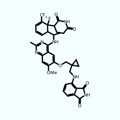 COc1cc2nc(C)nc(NC(C)C3C=CC=C(C(F)(F)F)C3(F)C3CCC(=O)NC3=O)c2cc1OCC1(CNc2cccc3c2C(=O)NC3=O)CC1